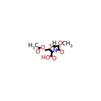 CO[C@H]1C(=O)N2C(C(=O)O)=C(COC(C)=O)S[C@H]12